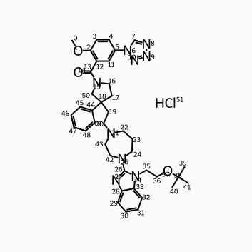 COc1ccc(-n2cnnn2)cc1C(=O)N1CCC(CCN2CCCN(c3nc4ccccc4n3CCOC(C)(C)C)CC2)(c2ccccc2)C1.Cl